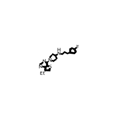 CCc1csc2c(N3CCC(NCCCc4ccc(F)cc4)CC3)ncnc12